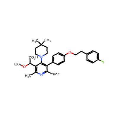 CNc1nc(C)c(C(OC(C)(C)C)C(=O)O)c(N2CCC(C)(C)CC2)c1-c1ccc(OCCc2ccc(F)cc2)cc1